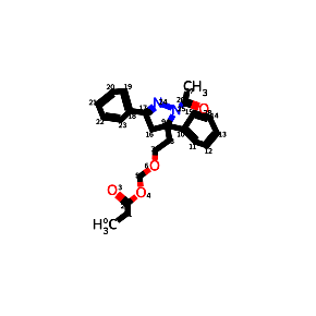 CCC(=O)OCOCCC1(c2ccccc2)CC(c2ccccc2)=NN1C(C)=O